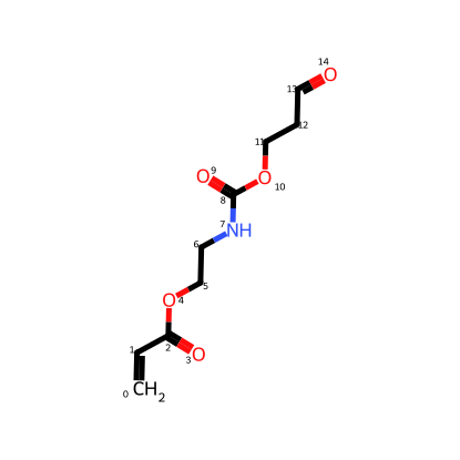 C=CC(=O)OCCNC(=O)OCCC=O